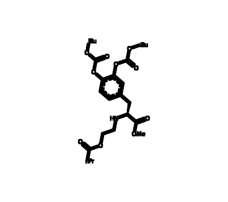 CCCC(=O)OCCN[C@@H](Cc1ccc(OC(=O)OC(C)CC)c(OC(=O)OC(C)CC)c1)C(=O)OC